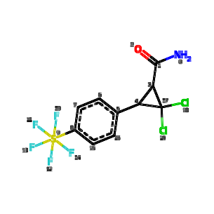 NC(=O)C1C(c2ccc(S(F)(F)(F)(F)F)cc2)C1(Cl)Cl